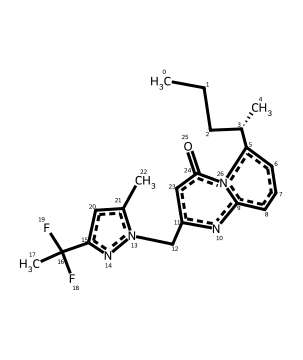 CCC[C@H](C)c1cccc2nc(Cn3nc(C(C)(F)F)cc3C)cc(=O)n12